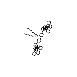 CCCCCCCCC1(CCCCCCCC)c2cc(-c3ccc4[n+](c3)[B-](c3ccccc3)(c3ccccc3)C(c3ccccc3)=C4)ccc2-c2ccc(-c3ccc4[n+](c3)[B-](c3ccccc3)(c3ccccc3)C(c3ccccc3)=C4)cc21